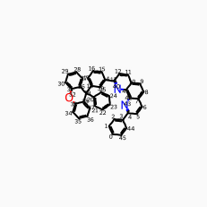 c1ccc(-c2ccc3ccc4ccc(-c5cccc(C6(c7ccccc7)c7ccccc7Oc7ccccc76)c5)nc4c3n2)cc1